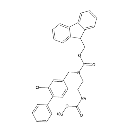 CC(C)(C)OC(=O)NCCN(Cc1ccc(-c2ccccc2)c(Cl)c1)C(=O)OCC1c2ccccc2-c2ccccc21